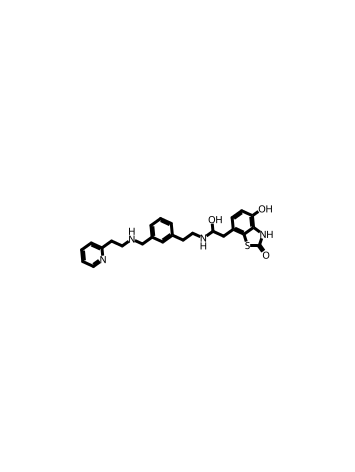 O=c1[nH]c2c(O)ccc(CC(O)NCCc3cccc(CNCCc4ccccn4)c3)c2s1